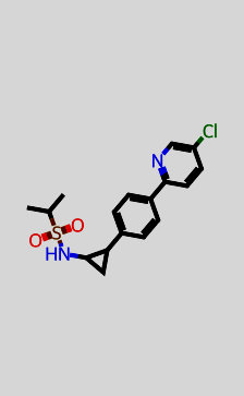 CC(C)S(=O)(=O)NC1CC1c1ccc(-c2ccc(Cl)cn2)cc1